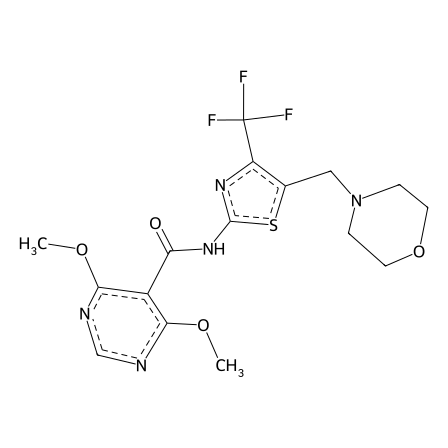 COc1ncnc(OC)c1C(=O)Nc1nc(C(F)(F)F)c(CN2CCOCC2)s1